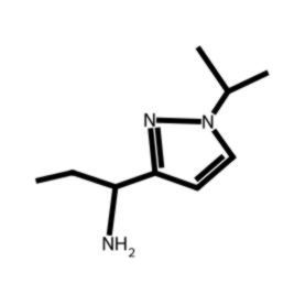 CCC(N)c1ccn(C(C)C)n1